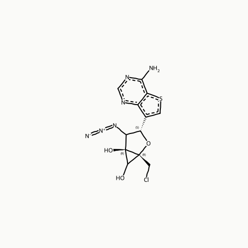 [N-]=[N+]=NC1[C@H](c2csc3c(N)ncnc23)O[C@]2(CCl)C(O)[C@]12O